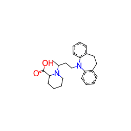 CC(CCN1c2ccccc2CCc2ccccc21)N1CCCCC1C(=O)O